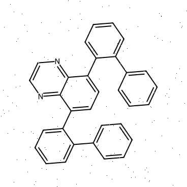 c1ccc(-c2ccccc2-c2ccc(-c3ccccc3-c3ccccc3)c3nccnc23)cc1